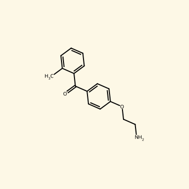 Cc1ccccc1C(=O)c1ccc(OCCN)cc1